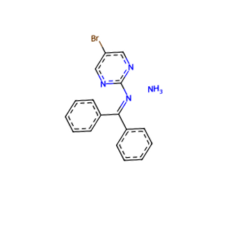 Brc1cnc(N=C(c2ccccc2)c2ccccc2)nc1.N